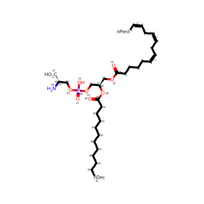 CCCCC/C=C\C/C=C\C/C=C\CCCCC(=O)OC[C@H](COP(=O)(O)OC[C@H](N)C(=O)O)OC(=O)CCCCCCCCCCCCCCCCCCCC